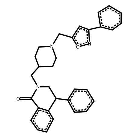 O=C1c2ccccc2C(c2ccccc2)CN1CC1CCN(Cc2cc(-c3ccccc3)no2)CC1